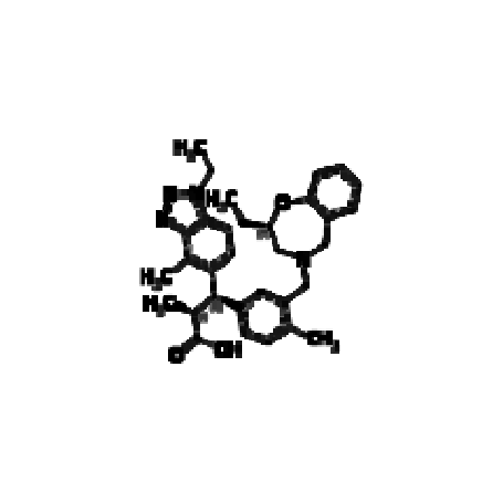 CC[C@@H]1CN(Cc2cc([C@H](c3ccc4c(nnn4CC)c3C)[C@H](C)C(=O)O)ccc2C)Cc2ccccc2O1